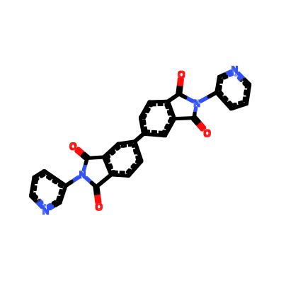 O=C1c2ccc(-c3ccc4c(c3)C(=O)N(c3cccnc3)C4=O)cc2C(=O)N1c1cccnc1